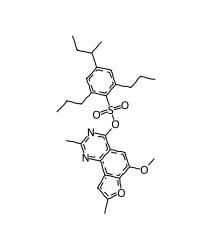 CCCc1cc(C(C)CC)cc(CCC)c1S(=O)(=O)Oc1nc(C)nc2c1cc(OC)c1oc(C)cc12